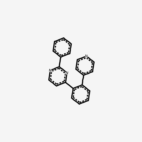 c1ccc(-c2nccc(-c3ccccc3-c3ccncc3)n2)cc1